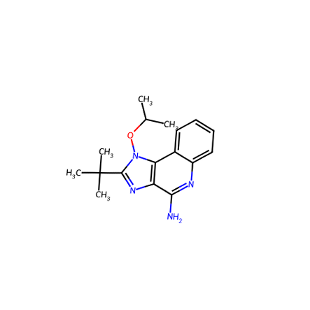 CC(C)On1c(C(C)(C)C)nc2c(N)nc3ccccc3c21